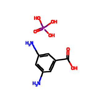 Nc1cc(N)cc(C(=O)O)c1.O=P(O)(O)O